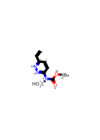 C=Cc1ccc(N(C(=O)O)C(=O)OC(C)(C)C)nn1